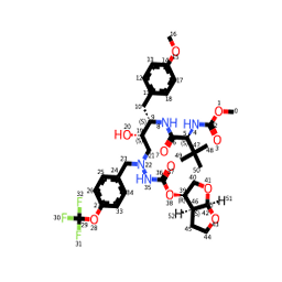 COC(=O)N[C@H](C(=O)N[C@@H](Cc1ccc(OC)cc1)[C@@H](O)CN(Cc1ccc(OC(F)(F)F)cc1)NC(=O)O[C@H]1CO[C@H]2OCC[C@H]21)C(C)(C)C